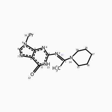 C/C(=N\c1nc2c(ncn2C(C)C)c(=O)[nH]1)N1CCCCC1